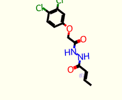 C/C=C/C(=O)NNC(=O)COc1ccc(Cl)c(Cl)c1